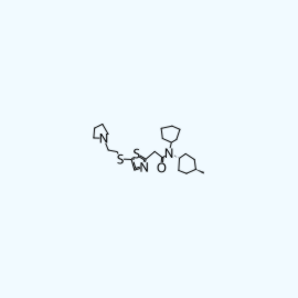 C[C@H]1CC[C@H](N(C(=O)Cc2ncc(SCCN3CCCC3)s2)C2CCCCC2)CC1